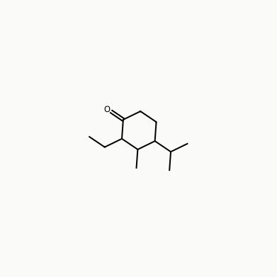 CCC1C(=O)CCC(C(C)C)C1C